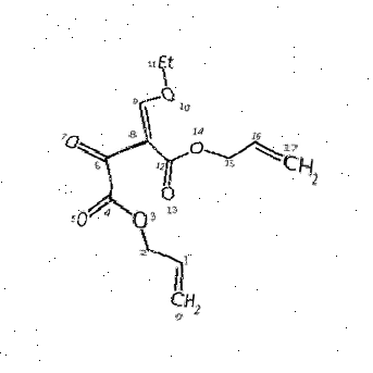 C=CCOC(=O)C(=O)C(=COCC)C(=O)OCC=C